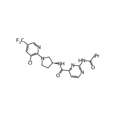 CC(C)C(=O)Nc1nccc(C(=O)N[C@H]2CCN(c3ncc(C(F)(F)F)cc3Cl)C2)n1